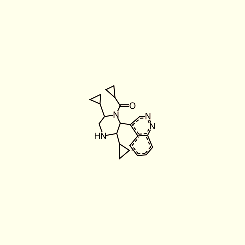 O=C(C1CC1)N1C(C2CC2)CNC(C2[CH]C2)C1c1cnnc2ccccc12